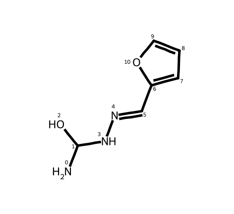 NC(O)N/N=C/c1ccco1